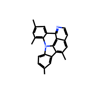 Cc1ccc2c(c1)c1c(C)cc3ccnc4c5cc(C)cc(C)c5n2c1c34